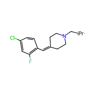 C[C](C)CN1CCC(=Cc2ccc(Cl)cc2F)CC1